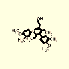 CCC1=C(c2ccc(OC)c(C)c2)C(CC)N(c2ccc(OC)c(C)c2)[C]=C1CCO